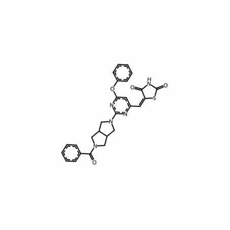 O=C1NC(=O)/C(=C\c2cc(Oc3ccccc3)nc(N3CC4CN(C(=O)c5ccccc5)CC4C3)n2)S1